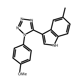 COc1ccc(-n2nnnc2-c2c[nH]c3ccc(C)cc23)cc1